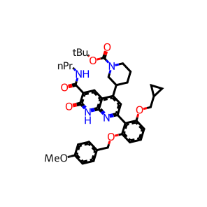 CCCNC(=O)c1cc2c(C3CCCN(C(=O)OC(C)(C)C)C3)cc(-c3c(OCc4ccc(OC)cc4)cccc3OCC3CC3)nc2[nH]c1=O